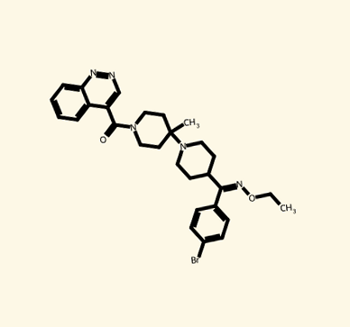 CCO/N=C(\c1ccc(Br)cc1)C1CCN(C2(C)CCN(C(=O)c3cnnc4ccccc34)CC2)CC1